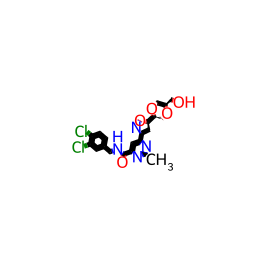 Cc1nc(C(=O)NCc2ccc(Cl)c(Cl)c2)cc(C2=NO[C@@H]([C@H]3CO[C@H](CO)CO3)C2)n1